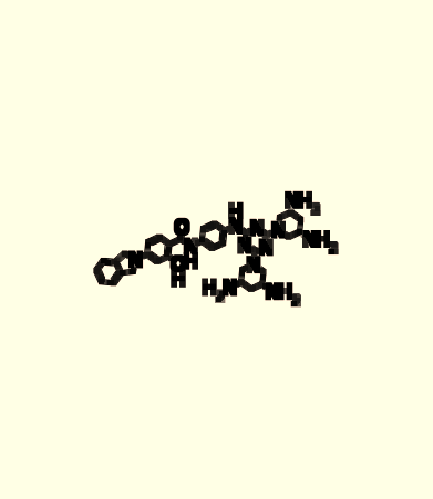 N[C@@H]1C[C@H](N)CN(c2nc(Nc3ccc(NC(=O)c4ccc(N5Cc6ccccc6C5)cc4O)cc3)nc(N3C[C@H](N)C[C@H](N)C3)n2)C1